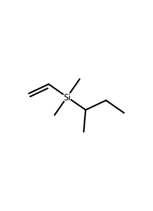 C=C[Si](C)(C)C(C)CC